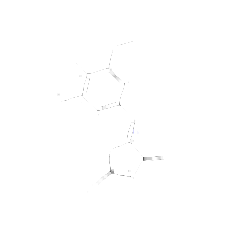 COc1cc(/C=C2\SC(=S)NC2=O)cc(Cl)c1O